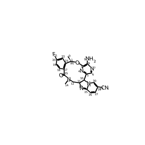 C[C@H]1Oc2nc(cnc2N)C2C(CN(C)C(=O)c3ccc(F)cc31)N=C1C=CC(C#N)=CN12